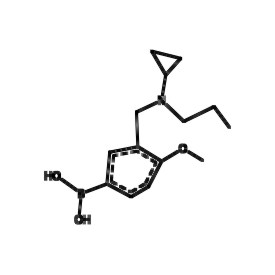 CCCN(Cc1cc(B(O)O)ccc1OC)C1CC1